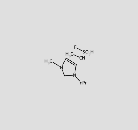 CC#N.CCCN1C=CN(C)C1.O=S(=O)(O)F